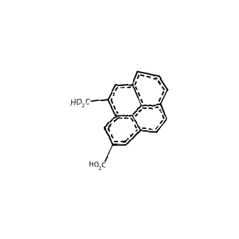 O=C(O)c1cc2ccc3cccc4cc(C(=O)O)c(c1)c2c34